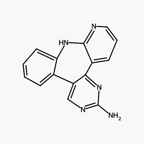 Nc1ncc2c(n1)-c1cccnc1Nc1ccccc1-2